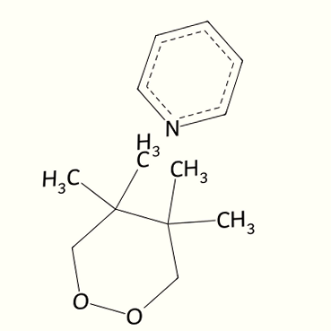 CC1(C)COOCC1(C)C.c1ccncc1